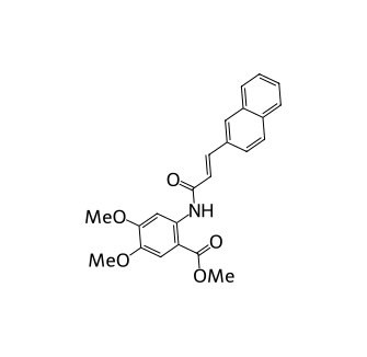 COC(=O)c1cc(OC)c(OC)cc1NC(=O)/C=C/c1ccc2ccccc2c1